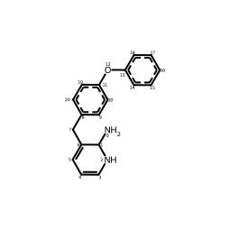 NC1NC=CC=C1Cc1ccc(Oc2ccccc2)cc1